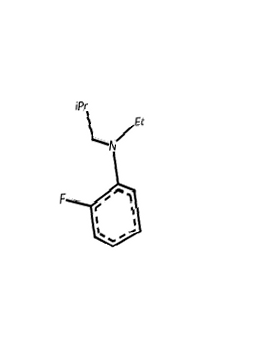 CCN(CC(C)C)c1ccccc1F